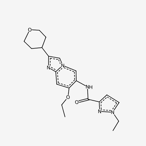 CCOc1cc2nc(C3CCOCC3)cn2cc1NC(=O)c1ccn(CC)n1